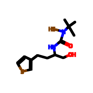 CC(C)(C)N(S)C(=O)NC(CO)CCc1ccsc1